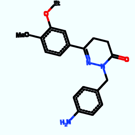 CCOc1cc(C2=NN(Cc3ccc(N)cc3)C(=O)CC2)ccc1OC